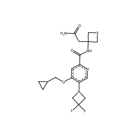 NC(=O)CC1(NC(=O)c2cc(OCC3CC3)c(N3CC(F)(F)C3)cn2)CSC1